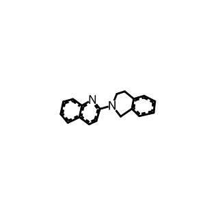 c1ccc2c(c1)CCN(c1ccc3ccccc3n1)C2